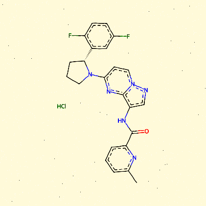 Cc1cccc(C(=O)Nc2cnn3ccc(N4CCC[C@@H]4c4cc(F)ccc4F)nc23)n1.Cl